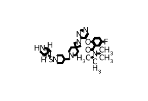 CC(C)N(C(=O)c1cc(F)ccc1Oc1cncnc1N1CC2(CCN(CC3CCN(SN4C[C@@H]5C[C@H]4CN5)CC3)CC2)C1)C(C)C